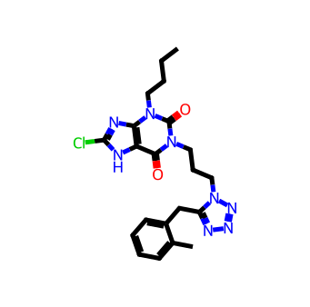 CCCCn1c(=O)n(CCCn2nnnc2Cc2ccccc2C)c(=O)c2[nH]c(Cl)nc21